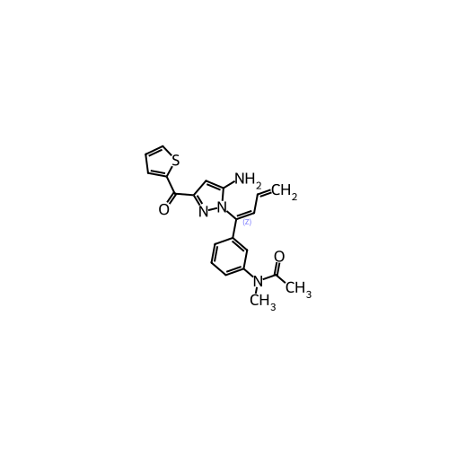 C=C/C=C(/c1cccc(N(C)C(C)=O)c1)n1nc(C(=O)c2cccs2)cc1N